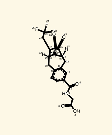 O=C(O)CNC(=O)c1ccc2c(c1)C[C@H]1CC[C@@H](C2)[C@]12CN(CC(F)(F)F)S(=O)(=O)N2